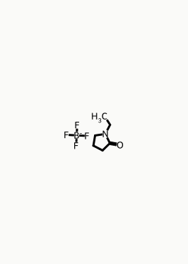 CCN1CCCC1=O.F[B-](F)(F)F